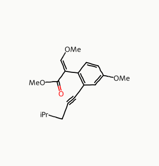 CO/C=C(/C(=O)OC)c1ccc(OC)cc1C#CCC(C)C